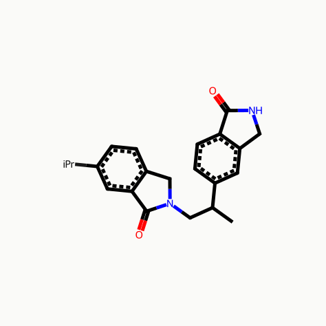 CC(C)c1ccc2c(c1)C(=O)N(CC(C)c1ccc3c(c1)CNC3=O)C2